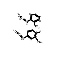 O=C=Nc1ccc(F)c([N+](=O)[O-])c1.O=C=Nc1ccccc1[N+](=O)[O-]